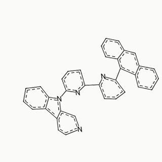 c1cc(-c2cccc(-n3c4ccccc4c4ccncc43)n2)nc(-c2c3ccccc3cc3ccccc23)c1